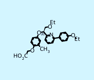 CCOC[C@H](Oc1ccc(OCC(=O)O)c(C)c1)c1cccc(-c2ccc(OCC)cc2)n1